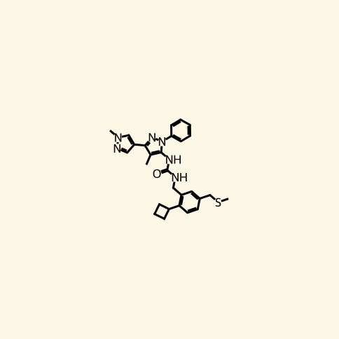 CSCc1ccc(C2CCC2)c(CNC(=O)Nc2c(C)c(-c3cnn(C)c3)nn2-c2ccccc2)c1